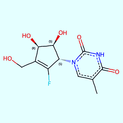 Cc1cn([C@@H]2C(F)=C(CO)[C@@H](O)[C@H]2O)c(=O)[nH]c1=O